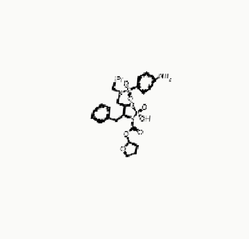 CC(C)CN(CC1OP(=O)(O)N(C(=O)OC2CCCO2)C1Cc1ccccc1)S(=O)(=O)c1ccc(N)cc1